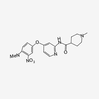 CNc1ccc(Oc2ccnc(NC(=O)C3CCN(C)CC3)c2)cc1[N+](=O)[O-]